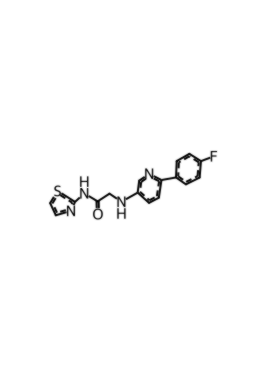 O=C(CNc1ccc(-c2ccc(F)cc2)nc1)Nc1nccs1